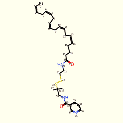 CC/C=C\C/C=C\C/C=C\C/C=C\C/C=C\CCCC(=O)NCCSSC(C)(C)CNC(=O)c1cccnc1